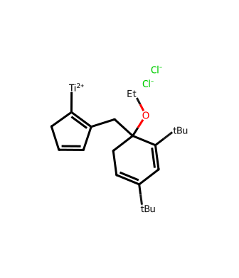 CCOC1(CC2=[C]([Ti+2])CC=C2)CC=C(C(C)(C)C)C=C1C(C)(C)C.[Cl-].[Cl-]